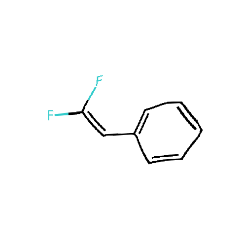 FC(F)=Cc1ccccc1